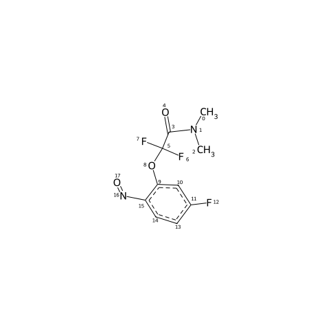 CN(C)C(=O)C(F)(F)Oc1cc(F)ccc1N=O